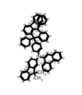 CC1(C)C2=CC(N(C3=CC=C(C4(C5C=CC=CC5)c5ccccc5C5(c6ccccc6)c6ccccc6-c6cccc4c65)CC3)c3cc4ccccc4c4ccccc34)CC=C2c2ccccc21